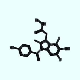 CCNC(=O)Cc1c(C)n(C(=O)c2ccc(Cl)cc2)c2cc(F)c(O)c(I)c12